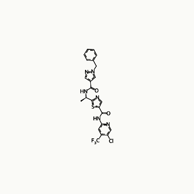 C[C@@H](NC(=O)c1cnn(Cc2ccccc2)c1)c1ncc(C(=O)Nc2cc(C(F)(F)F)c(Cl)cn2)s1